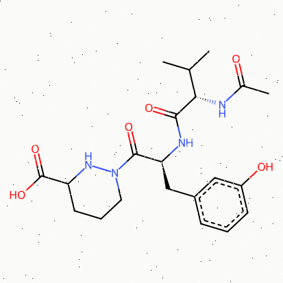 CC(=O)N[C@H](C(=O)N[C@@H](Cc1cccc(O)c1)C(=O)N1CCCC(C(=O)O)N1)C(C)C